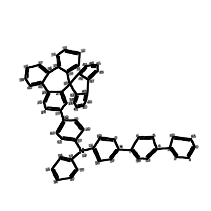 c1ccc(-c2ccc(-c3ccc(N(c4ccccc4)c4ccc(-c5ccc6c(c5)C5(c7ccccc7-c7ccccc7-6)c6ccccc6-c6ccccc65)cc4)cc3)cc2)cc1